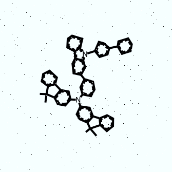 CC1(C)c2ccccc2-c2cc(N(c3cccc(-c4ccc5c6ccccc6n(-c6ccc(-c7ccccc7)cc6)c5c4)c3)c3ccc4c(c3)-c3ccccc3C4(C)C)ccc21